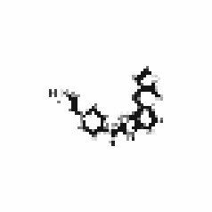 Cc1occc1CC1=C2N=C(NC3CCN(CCN)CC3)N=C2CC=C1